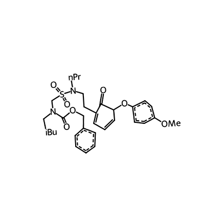 CCCN(CCC1=CC=CC(Oc2ccc(OC)cc2)C1=O)S(=O)(=O)CN(CC(C)CC)C(=O)OCc1ccccc1